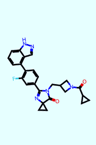 O=C(C1CC1)N1CC(CN2C(=O)C3(CC3)N=C2c2ccc(-c3cccc4[nH]ncc34)c(F)c2)C1